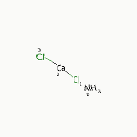 [AlH3].[Cl][Ca][Cl]